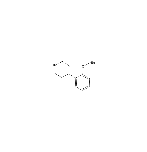 CCCCOc1ccccc1C1CCNCC1